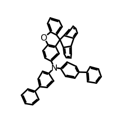 c1ccc(-c2ccc(N(c3ccc(-c4ccccc4)cc3)c3ccc4c(c3)C3(c5ccccc5O4)c4ccccc4-c4ccccc43)cc2)cc1